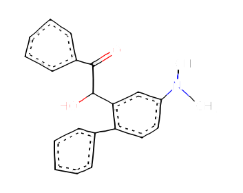 CN(C)c1ccc(-c2ccccc2)c(C(O)C(=O)c2ccccc2)c1